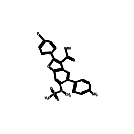 CNC(=O)c1c(-c2ccc(F)cc2)oc2cc(N(C)S(C)(=O)=O)c(-c3ccc(N)cc3)cc12